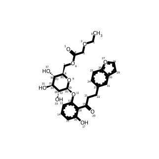 CCOCC(=O)OC[C@H]1O[C@@H](Oc2cccc(O)c2C(=O)CCc2ccc3occc3c2)[C@H](O)[C@@H](O)[C@@H]1O